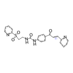 O=C(NCCS(=O)(=O)c1ccccn1)Nc1ccc(C(=O)/C=C/c2ccccn2)cc1